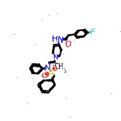 C[C@H](CN(c1ccccc1)S(=O)(=O)CC1CCCCC1)N1CCC(NC(=O)Cc2ccc(F)cc2)CC1